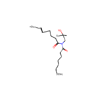 CCCCCCCCCCCCCCCC(=O)N(CC(C)(O)CC)C(=O)CCCCCCCCCCCCCCC